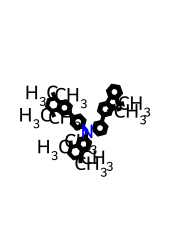 CC1(C)CCC(C)(C)c2cc(-c3ccc(N(c4cccc(-c5ccc6c(c5)[Si](C)(C)c5ccccc5-6)c4)c4ccc5c(c4)C(C)(C)CCC5(C)C)cc3)ccc21